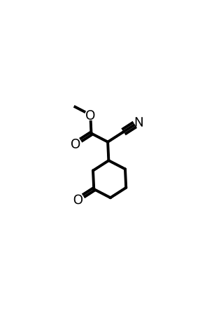 COC(=O)C(C#N)C1CCCC(=O)C1